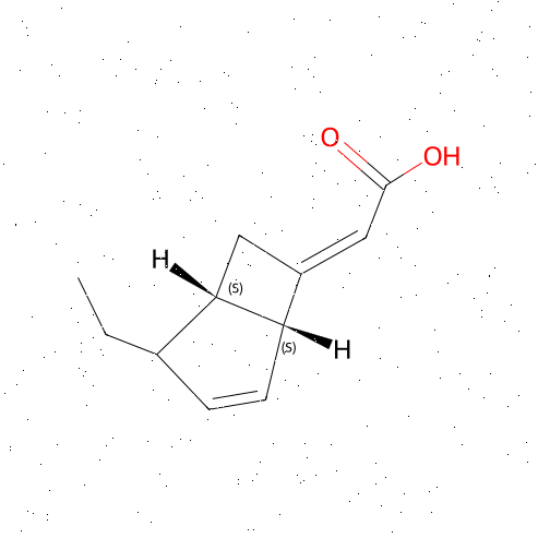 CCC1C=C[C@H]2C(=CC(=O)O)C[C@@H]12